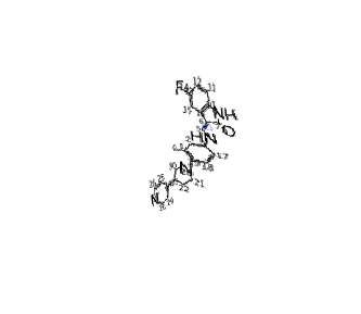 Cc1cc(N/C=C2\C(=O)Nc3ccc(F)cc32)ccc1N1CCC(c2ccncc2)C1